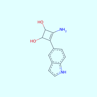 NC1=C(c2ccc3[nH]ccc3c2)C(O)C1O